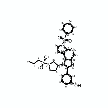 CCCS(=O)(=O)N1CCC(n2c(-c3cccc(O)c3)nc3cnc4c(ccn4S(=O)(=O)c4ccccc4)c32)C1